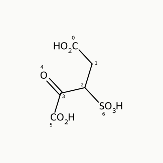 O=C(O)CC(C(=O)C(=O)O)S(=O)(=O)O